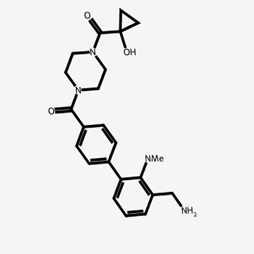 CNc1c(CN)cccc1-c1ccc(C(=O)N2CCN(C(=O)C3(O)CC3)CC2)cc1